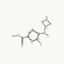 COC(=O)c1ccc(N(C)C2CNC2)c(F)n1